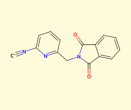 [C-]#[N+]c1cccc(CN2C(=O)c3ccccc3C2=O)n1